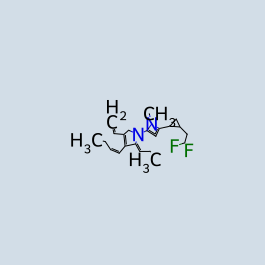 C=CC1=C(/C=C\CC)/C(=C/CC)N(C2=C=C(C3CC3CC(F)F)N2C)C1